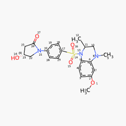 COc1ccc2c(c1)N(C)CC(C)N2S(=O)(=O)c1ccc(N2C[C@H](O)CC2=O)cc1